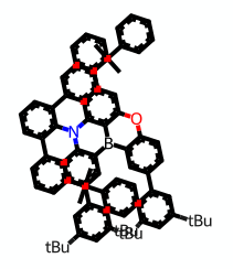 CC(C)(C)c1cc(-c2ccc3c(c2)B2c4cc(-c5cc(C(C)(C)C)cc(C(C)(C)C)c5)ccc4N(c4c(-c5ccc(C(C)(C)c6ccccc6)cc5)cccc4-c4cccc(C(C)(C)c5ccccc5)c4)c4cc(-c5ccccc5)cc(c42)O3)cc(C(C)(C)C)c1